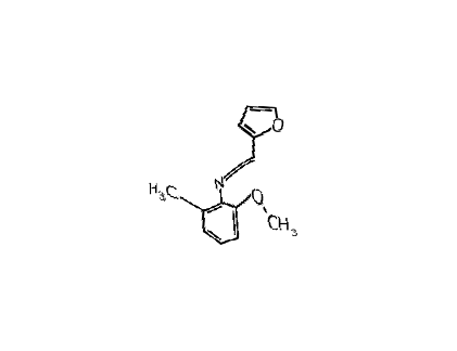 COc1cccc(C)c1N=Cc1ccco1